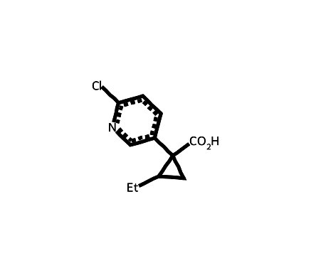 CCC1CC1(C(=O)O)c1ccc(Cl)nc1